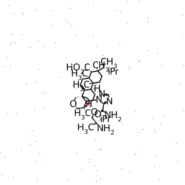 CC(C)[C@@H](C)[C@@]1(C)CC[C@]2(C)[C@H]3CC[C@@H]4[C@@]5(COC[C@]4(C)[C@@H](OC[C@](C)(N)C(C)C)[C@H](n4ncnc4C(N)=O)C5)C3=CC[C@@]2(C)[C@@H]1C(=O)O